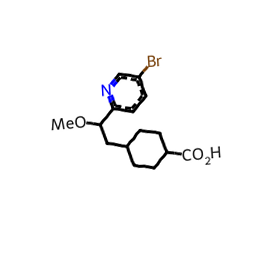 COC(CC1CCC(C(=O)O)CC1)c1ccc(Br)cn1